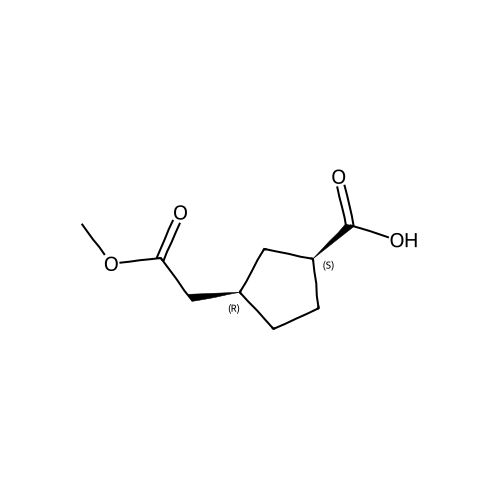 COC(=O)C[C@@H]1CC[C@H](C(=O)O)C1